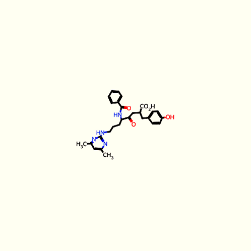 Cc1cc(C)nc(NCCCC(NC(=O)c2ccccc2)C(=O)CC(Cc2ccc(O)cc2)C(=O)O)n1